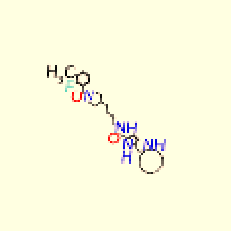 Cc1cccc(C(=O)N2CCC(CCCCNC(=O)c3cc4c([nH]3)CC3(CCCCCCCCC3)NC4)CC2)c1F